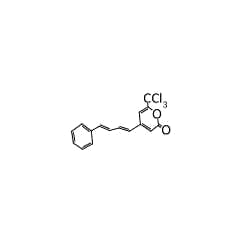 O=c1cc(/C=C/C=C/c2ccccc2)cc(C(Cl)(Cl)Cl)o1